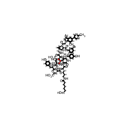 CCCCCCCCCCCCCCCC(=O)NCCCC[C@H](NC(=O)[C@H](CCC(=O)O)NC(=O)C(Cc1ccc(O)cc1)NC(=O)[C@H](CCC(=O)O)NC(C)=O)C(=O)N[C@@H](CCC(=O)O)C(=O)N[C@@H](Cc1ccc(O)cc1)C(=O)N[C@@H](CCC(=O)O)C(=O)NC[C@]12CC1N(C(=O)Cn1nc(C(C)=O)c3cc(-c4cnc(C)nc4)cc(C)c31)[C@H](C(=O)Nc1nc(Br)ccc1C)C2